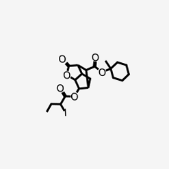 CCC(I)C(=O)OC1C2CC3C1OC(=O)C3C2C(=O)OC1(C)CCCCC1